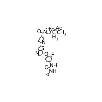 CC(=O)C(C)(C)CN1CCN(C(=O)c2ccc(-c3cc4nccc(Oc5ccc(NC(=O)NC6CC6)cc5F)c4s3)nc2)CC1